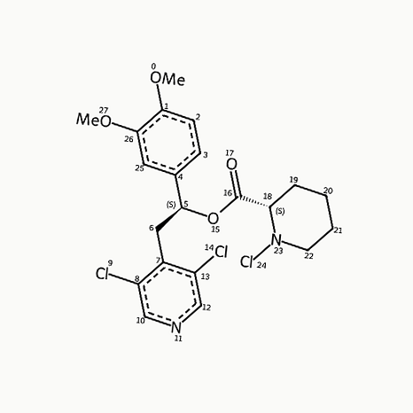 COc1ccc([C@H](Cc2c(Cl)cncc2Cl)OC(=O)[C@@H]2CCCCN2Cl)cc1OC